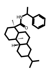 CC(NC(=O)[C@]1(C)CCC[C@@]2(C)C1CCC1CC(C(C)C)CC[C@@H]12)c1ccccc1